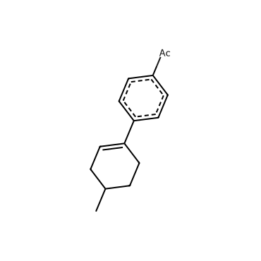 CC(=O)c1ccc(C2=CCC(C)CC2)cc1